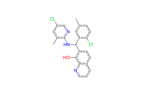 Cc1ccc(Cl)c(C(Nc2ncc(Cl)cc2C)c2ccc3cccnc3c2O)c1